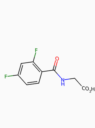 O=C(O)CNC(=O)c1ccc(F)cc1F